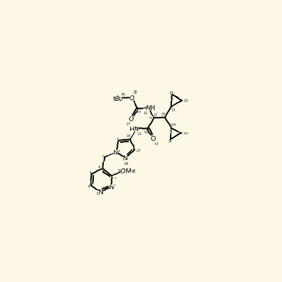 COc1nnccc1Cn1cc(NC(=O)[C@@H](NC(=O)OC(C)(C)C)C(C2CC2)C2CC2)cn1